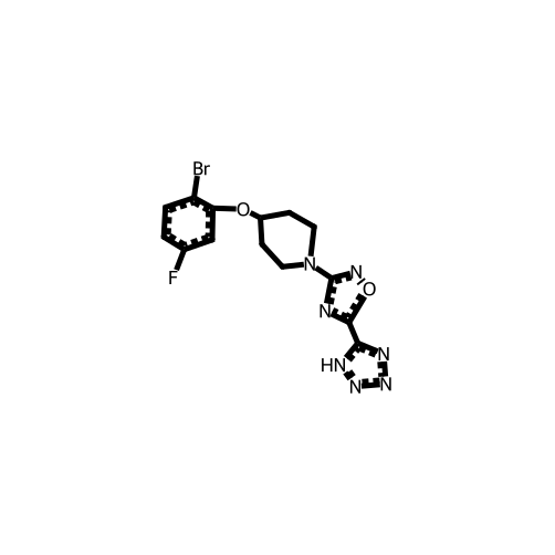 Fc1ccc(Br)c(OC2CCN(c3noc(-c4nnn[nH]4)n3)CC2)c1